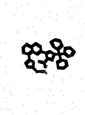 CSc1ccc(-c2ncnc3ccc(-c4cn(C(c5ccccc5)(c5ccccc5)c5ccccc5)nc4[N+](=O)[O-])cc23)s1